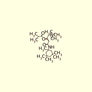 CC(C)C(=O)O[C@H](CC(=O)NC1(C)CC(C)(C)CC(C)(C)C1)C[N+](C)(C)C